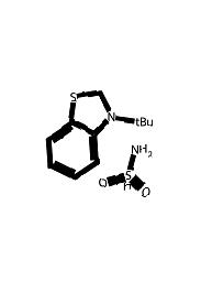 CC(C)(C)N1CSc2ccccc21.N[SH](=O)=O